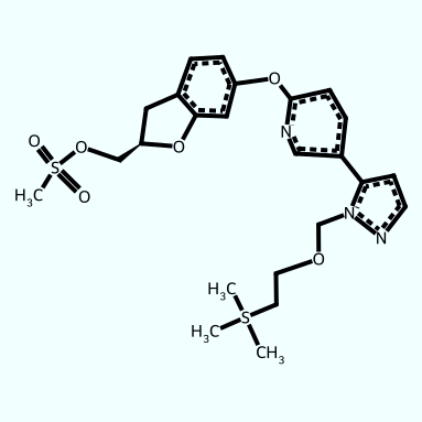 CS(C)(C)CCOCn1nccc1-c1ccc(Oc2ccc3c(c2)O[C@@H](COS(C)(=O)=O)C3)nc1